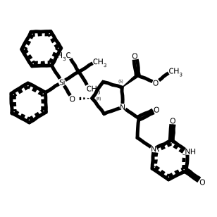 COC(=O)[C@@H]1C[C@@H](O[Si](c2ccccc2)(c2ccccc2)C(C)(C)C)CN1C(=O)Cn1ccc(=O)[nH]c1=O